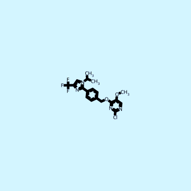 COc1cnc(Cl)nc1OCc1ccc(-c2nc(C(F)(F)F)cn2C(C)C)cc1